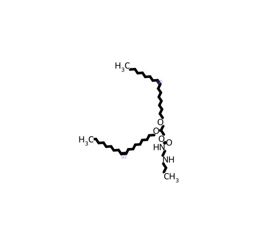 CCCCCCCC/C=C\CCCCCCCCOCC(COC(=O)NCCNCCCC)OCCCCCCCC/C=C\CCCCCCCC